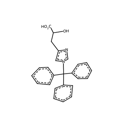 O=C(O)C(O)Cc1cn(C(c2ccccc2)(c2ccccc2)c2ccccc2)cn1